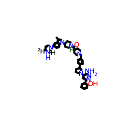 [2H]C1C=CN(c2ccc3c(c2)c(C)cn3C2CCN(C(=O)C3(F)CCN(Cc4ccc(C5CCCN(c6cc(-c7ccccc7O)nnc6N)C5)cc4)CC3)CC2)C([2H])N1